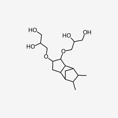 CC1C(C)C2CC1C1CC(OCC(O)CO)C(OCC(O)CO)C21